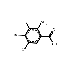 Nc1c(C(=O)O)cc(Cl)c(Br)c1F